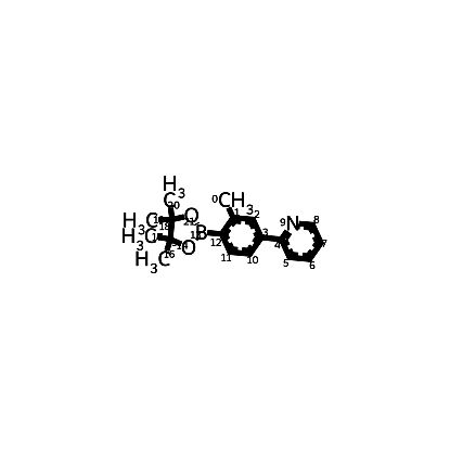 Cc1cc(-c2ccccn2)ccc1B1OC(C)(C)C(C)(C)O1